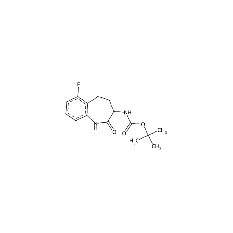 CC(C)(C)OC(=O)NC1CCc2c(F)cccc2NC1=O